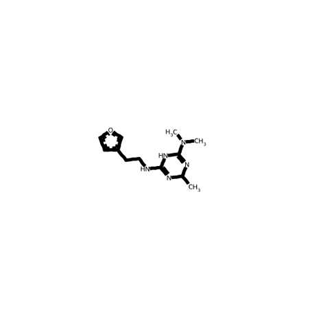 CC1N=C(NCCc2ccoc2)NC(N(C)C)=N1